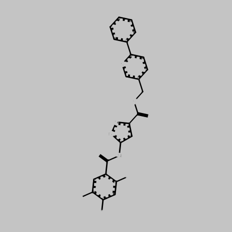 O=C(NCc1ccc(-c2ccccc2)nc1)c1cc(NC(=O)c2cc(F)c(F)cc2Cl)[nH]n1